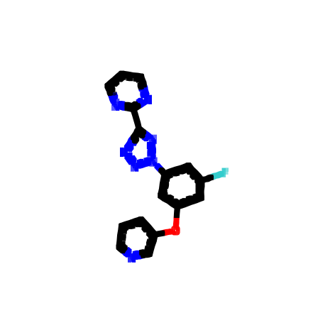 Fc1cc(Oc2cccnc2)cc(-n2nnc(-c3ncccn3)n2)c1